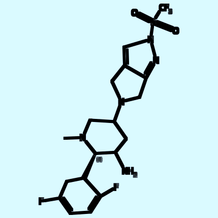 CN1CC(N2Cc3cn(S(=O)(=O)C(F)(F)F)nc3C2)CC(N)[C@H]1C1CC(F)=CC=C1F